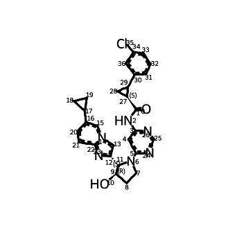 O=C(Nc1cc(N2CC[C@@H](O)[C@@H]2c2cn3cc(C4CC4)ccc3n2)ncn1)[C@H]1CC1c1cccc(Cl)c1